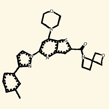 Cc1cccc(-c2ccn(-c3cc(N4CCOCC4)c4sc(C(=O)N5CCC56COC6)cc4n3)n2)c1